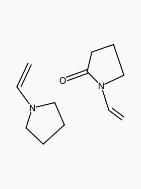 C=CN1CCCC1.C=CN1CCCC1=O